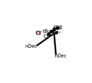 CCCCCCCCCCCCCCCCCCCCCCCCCCCCCC[C](CCCCCCCCCCCCCCCCCCCCCCCCCCCCCC)=[Zr+2]([C]1=CC=CC1)[CH]1c2cc(-c3ccc(Cl)cc3)c(C(C)(C)C)cc2-c2cc(C(C)(C)C)c(-c3ccc(Cl)cc3)cc21.[Cl-].[Cl-]